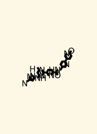 COc1ccc(-c2ccc(CNC(=O)c3ccc(-c4nc(C)cc(Nc5cc(C#N)n[nH]5)n4)cn3)cn2)cn1